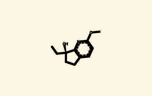 CC[C@@]1(O)CCc2ccc(OC)nc21